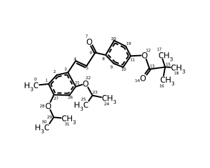 Cc1cc(C=CC(=O)c2ccc(OC(=O)C(C)(C)C)cc2)c(OC(C)C)cc1OC(C)C